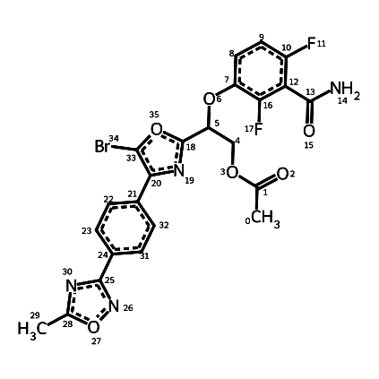 CC(=O)OCC(Oc1ccc(F)c(C(N)=O)c1F)c1nc(-c2ccc(-c3noc(C)n3)cc2)c(Br)o1